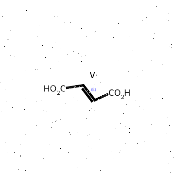 O=C(O)/C=C/C(=O)O.[V]